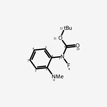 CNc1ccccc1N(F)C(=O)OC(C)(C)C